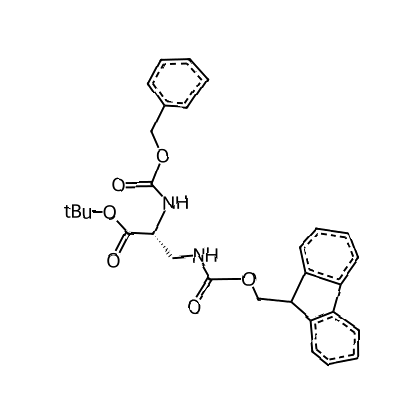 CC(C)(C)OC(=O)[C@@H](CNC(=O)OCC1c2ccccc2-c2ccccc21)NC(=O)OCc1ccccc1